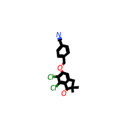 CC1(C)Cc2cc(OCc3ccc(C#N)cc3)c(Cl)c(Cl)c2C1=O